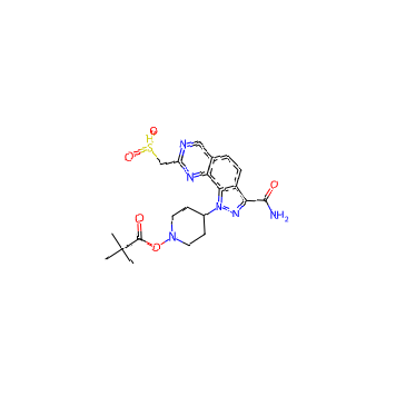 CC(C)(C)C(=O)ON1CCC(n2nc(C(N)=O)c3ccc4cnc(C[SH](=O)=O)nc4c32)CC1